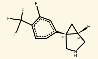 Fc1cc([C@]23CNC[C@H]2C3)ccc1C(F)(F)F